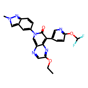 CCOc1cnc2cn(-c3ccc4nn(C)cc4c3)c(=O)c(-c3ccc(OC(F)F)nc3)c2n1